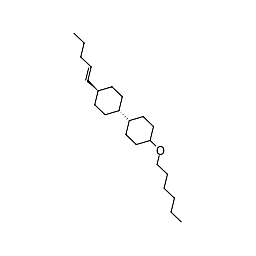 CCC/C=C/[C@H]1CC[C@H](C2CCC(OCCCCCC)CC2)CC1